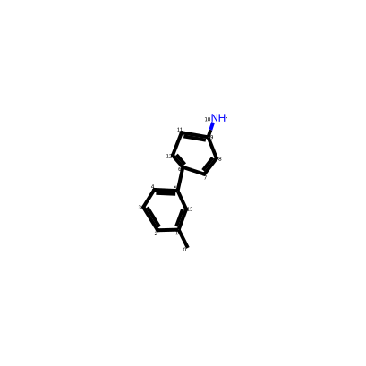 Cc1cccc(-c2ccc([NH])cc2)c1